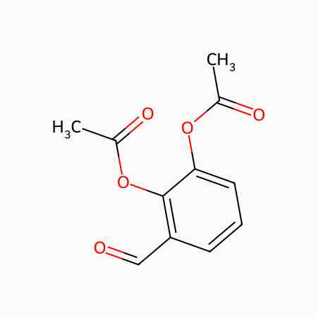 CC(=O)Oc1cccc(C=O)c1OC(C)=O